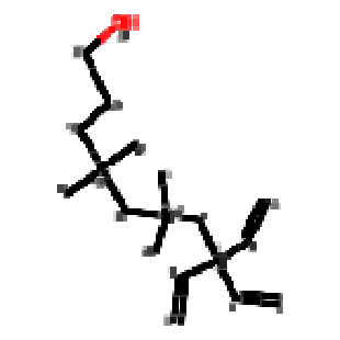 C=C[Si](C=C)(C=C)C[Si](C)(C)C[Si](C)(C)CCCO